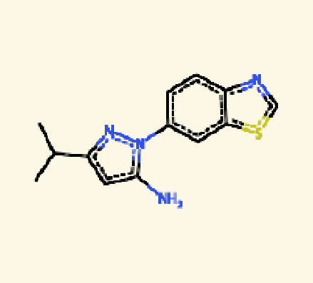 CC(C)c1cc(N)n(-c2ccc3ncsc3c2)n1